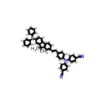 CC1(C)c2cc(/C=C/c3ccc(N(c4ccc(C#N)cc4)c4ccc(C#N)cc4)cc3)ccc2-c2ccc(B(c3ccccc3)c3ccccc3)cc21